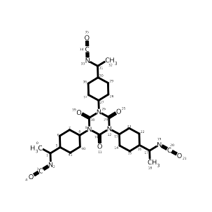 CC(N=C=O)C1CCC(n2c(=O)n(C3CCC(C(C)N=C=O)CC3)c(=O)n(C3CCC(C(C)N=C=O)CC3)c2=O)CC1